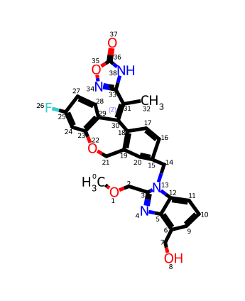 COCc1nc2c(CO)cccc2n1Cc1ccc2c(c1)COc1cc(F)ccc1/C2=C(/C)c1noc(=O)[nH]1